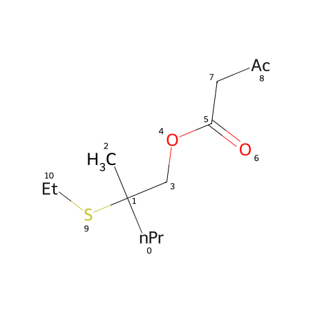 CCCC(C)(COC(=O)CC(C)=O)SCC